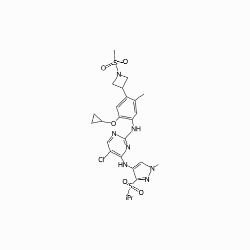 Cc1cc(Nc2ncc(Cl)c(Nc3cn(C)nc3S(=O)(=O)C(C)C)n2)c(OC2CC2)cc1C1CN(S(C)(=O)=O)C1